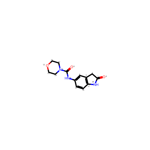 O=C1Cc2cc(NC(=O)N3CCOCC3)ccc2N1